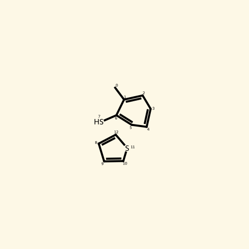 Cc1ccccc1S.c1ccsc1